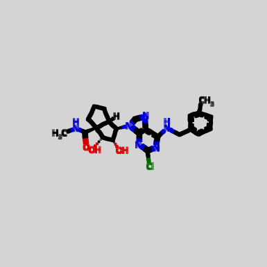 CNC(=O)[C@@]12CCC[C@@H]1[C@@H](n1cnc3c(NCc4cccc(C)c4)nc(Cl)nc31)[C@H](O)[C@@H]2O